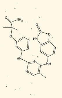 Cc1cnc(Nc2cccc(OC(C)(C)C(N)=O)c2)nc1Nc1ccc2oc(=O)[nH]c2c1